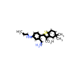 C=CCNc1ccc(-c2sc3c(c2C(=O)O)CC(C)(C)CC3)c(CN)c1